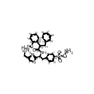 CCc1csc(C(Cc2ccc(S(=O)(=O)ON)cc2)NC(=O)C(Cc2ccccc2)c2ccccc2OC)n1